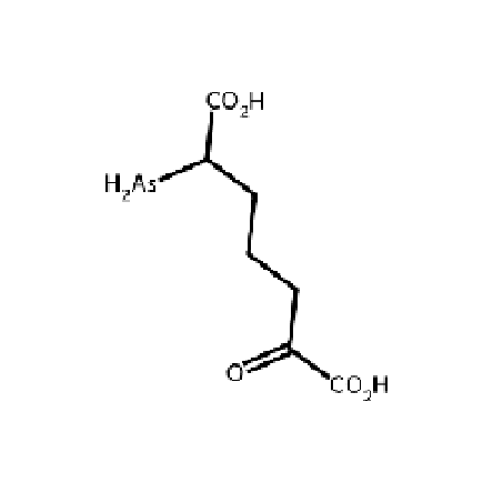 O=C(O)C(=O)CCCC([AsH2])C(=O)O